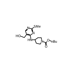 CCCCOC(=O)N1CCC(Nc2nc(SC)ncc2CO)CC1